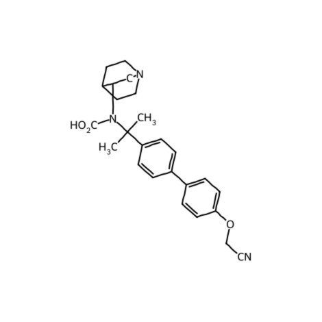 CC(C)(c1ccc(-c2ccc(OCC#N)cc2)cc1)N(C(=O)O)C1CN2CCC1CC2